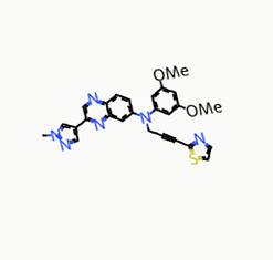 COc1cc(OC)cc(N(CC#Cc2nccs2)c2ccc3ncc(-c4cnn(C)c4)nc3c2)c1